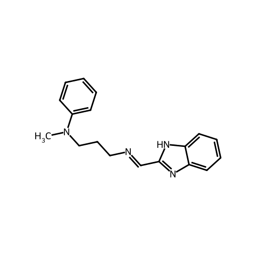 CN(CCC/N=C/c1nc2ccccc2[nH]1)c1ccccc1